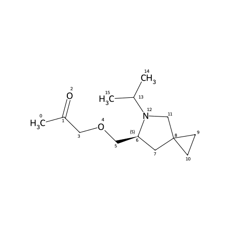 CC(=O)COC[C@@H]1CC2(CC2)CN1C(C)C